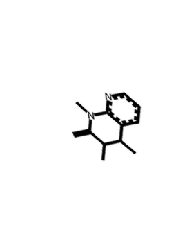 C=C1C(C)C(C)c2cccnc2N1C